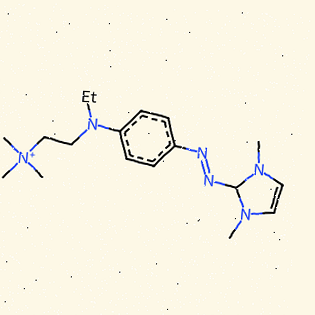 CCN(CC[N+](C)(C)C)c1ccc(/N=N/C2N(C)C=CN2C)cc1